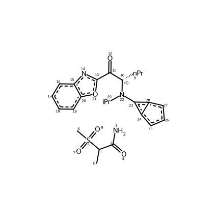 CC(C(N)=O)S(C)(=O)=O.CCC[C@@H](C(=O)c1nc2ccccc2o1)N(c1c2cccc1-2)C(C)C